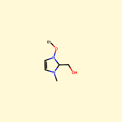 CCON1C=CN(C)C1CO